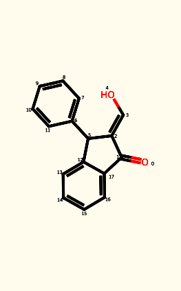 O=C1/C(=C/O)C(c2ccccc2)c2ccccc21